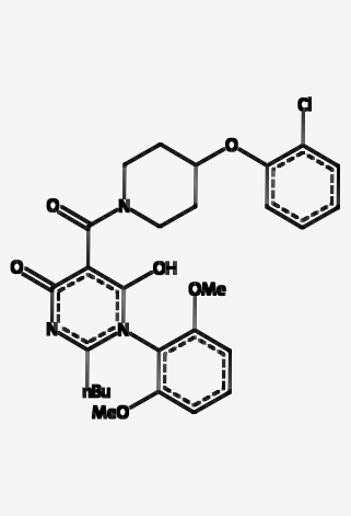 CCCCc1nc(=O)c(C(=O)N2CCC(Oc3ccccc3Cl)CC2)c(O)n1-c1c(OC)cccc1OC